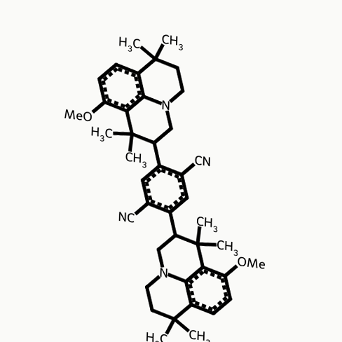 COc1ccc2c3c1C(C)(C)C(c1cc(C#N)c(C4CN5CCC(C)(C)c6ccc(OC)c(c65)C4(C)C)cc1C#N)CN3CCC2(C)C